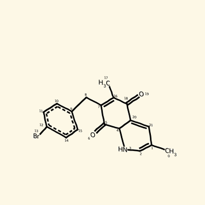 CC1=CNC2C(=O)C(Cc3ccc(Br)cc3)=C(C)C(=O)C2=C1